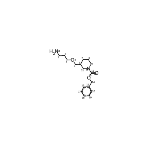 NCCCOCC1CCCN(C(=O)OCc2ccccc2)C1